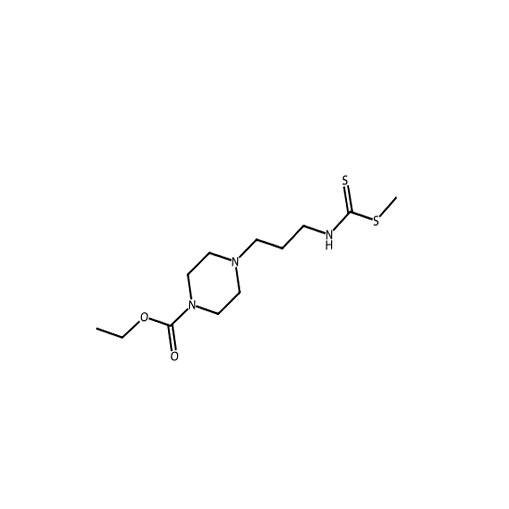 CCOC(=O)N1CCN(CCCNC(=S)SC)CC1